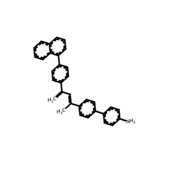 C=C(/C=C(\C)c1ccc(-c2ccc(N)cc2)cc1)c1ccc(-c2cccc3ccccc23)cc1